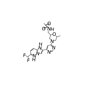 CC1CN(c2cc(-c3cnc(/C=C\C(=N)C(F)F)[nH]3)ncn2)CC(CNS(C)(=O)=O)O1